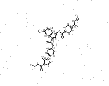 CCCC(=O)c1cnn(-c2ccc(NC(=O)c3cn(CC(=O)N4CCN(C(C)COC)CC4)c4ccc(Cl)cc34)cc2)c1C